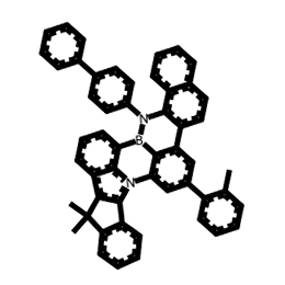 Cc1ccccc1-c1cc2c3c(c1)-n1c4c(c5cccc(c51)B3N(c1ccc(-c3ccccc3)cc1)c1c-2ccc2ccccc12)C(C)(C)c1ccccc1-4